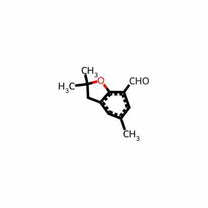 Cc1cc(C=O)c2c(c1)CC(C)(C)O2